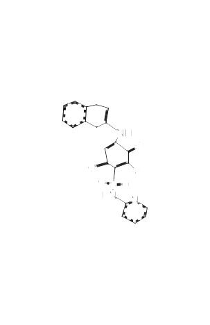 O=C1C=C(NC2=CCc3ccccc3C2)C(=O)C(Cl)=C1S(=O)(=O)Nc1ccccn1